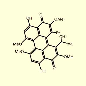 CCc1c(OC)c(=O)c2c(O)cc(OC)c3c4c(OC)cc(O)c5c(=O)c(OC)c(C(O)C(C)=O)c(c1c23)c54